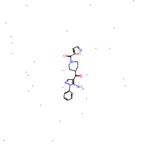 Nc1c(C(=O)C2CCN(C(=O)c3ccno3)CC2)cnn1-c1ccccc1